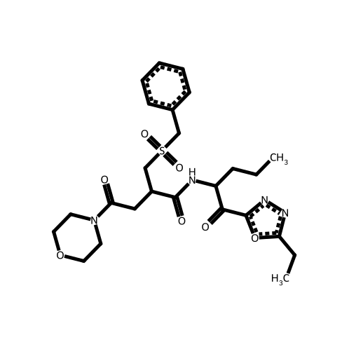 CCCC(NC(=O)C(CC(=O)N1CCOCC1)CS(=O)(=O)Cc1ccccc1)C(=O)c1nnc(CC)o1